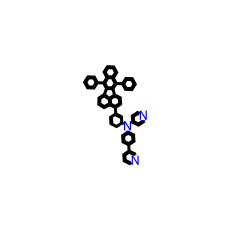 C1=CC(c2ccc3c4c(cccc24)-c2c-3c(-c3ccccc3)c3ccccc3c2-c2ccccc2)=CC(N(c2ccncc2)c2ccc(-c3cccnc3)cc2)C1